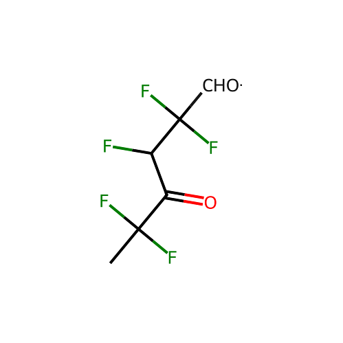 CC(F)(F)C(=O)C(F)C(F)(F)[C]=O